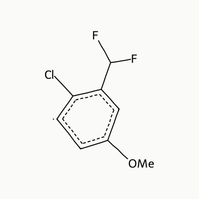 COc1c[c]c(Cl)c(C(F)F)c1